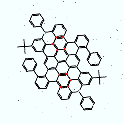 CC(C)(C)c1cc2c3c(c1)N(c1ccccc1)c1ccccc1B3c1cc3c(-c4c(-c5ccccc5)cccc4-c4ccccc4)cc4c5c(cc6c(-c7c(-c8ccccc8)cccc7-c7ccccc7)cc-2c1c6c35)B1c2ccccc2N(c2ccccc2)c2cc(C(C)(C)C)cc-4c21